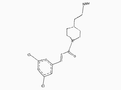 CNCCC1CCN(C(=O)C=Cc2cc(Cl)cc(Cl)c2)CC1